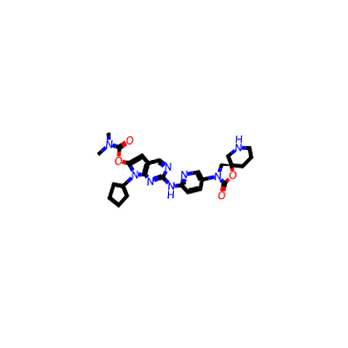 CN(C)C(=O)Oc1cc2cnc(Nc3ccc(N4C[C@@]5(CCCNC5)OC4=O)cn3)nc2n1C1CCCC1